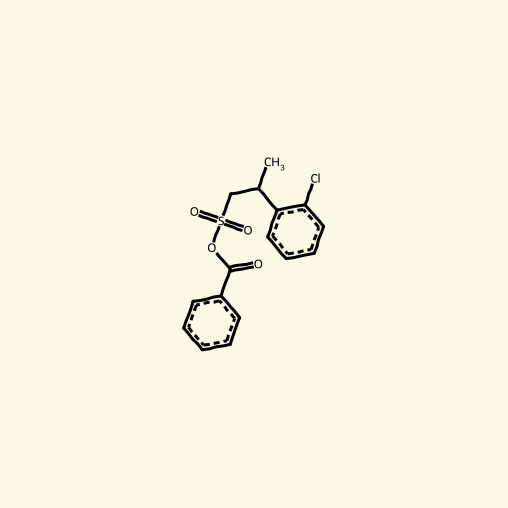 CC(CS(=O)(=O)OC(=O)c1ccccc1)c1ccccc1Cl